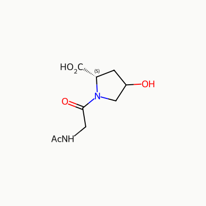 CC(=O)NCC(=O)N1CC(O)C[C@H]1C(=O)O